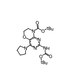 CC(C)(C)OC(=O)Nc1nc(N2CCCC2)c2c(n1)N(C(=O)OC(C)(C)C)CCO2